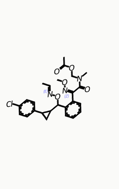 C/C=N/OC(c1ccccc1/C(=N/OC)C(=O)N(C)COC(C)=O)C1CC1c1ccc(Cl)cc1